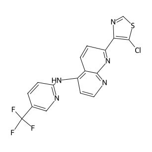 FC(F)(F)c1ccc(Nc2ccnc3nc(-c4ncsc4Cl)ccc23)nc1